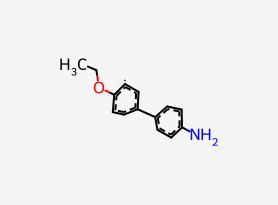 CCOc1[c]cc(-c2ccc(N)cc2)cc1